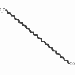 O=C(O)/C=C/CCCCCCCCCCCCCCCCCCCCCCCCCCCCCCCCC(=O)O